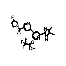 Cc1nc(-c2cc(-c3cncc(C(=O)N4CC[C@@H](F)C4)c3)ccn2)[nH]c1C.O=C(O)C(F)(F)F